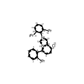 CC(C)c1ccccc1-c1cccc2c[n+](-c3c(C(C)C)cccc3C(C)C)cn12.[Cl-]